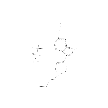 CCCCN1CC=C(c2c[nH]c3cc(OCC)ccc23)CC1.O=S(=O)(O)C(F)(F)F